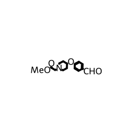 COC(=O)CN1CCC(Oc2ccc(C=O)cc2)CC1